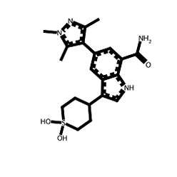 Cc1nn(C)c(C)c1-c1cc(C(N)=O)c2[nH]cc(C3CCS(O)(O)CC3)c2c1